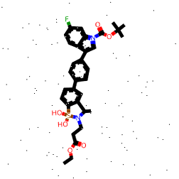 CCOC(=O)CCN1C(C)c2cc(-c3ccc(-c4cn(C(=O)OC(C)(C)C)c5cc(F)ccc45)cc3)ccc2S1(O)O